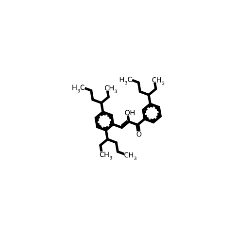 CCCC(CC)c1cccc(C(=O)C(O)=Cc2cc(C(CC)CCC)ccc2C(CC)CCC)c1